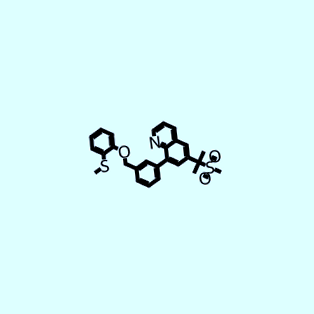 CSc1ccccc1OCc1cccc(-c2cc(C(C)(C)S(C)(=O)=O)cc3cccnc23)c1